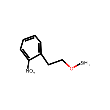 O=[N+]([O-])c1ccccc1CCO[SiH3]